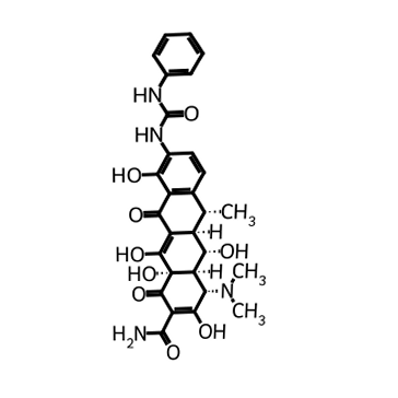 C[C@H]1c2ccc(NC(=O)Nc3ccccc3)c(O)c2C(=O)C2=C(O)[C@]3(O)C(=O)C(C(N)=O)=C(O)[C@@H](N(C)C)[C@@H]3[C@@H](O)[C@@H]21